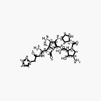 C[C@H](NC(=O)Cn1cnnn1)[C@H]1C(=O)N2C(C(=O)O)=C(S[C@@H]3CN[C@H](C(=O)N4C[C@@H](N)C(O)C4CO)C3)[C@H](C)[C@H]12